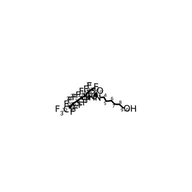 O=S(=O)(NCCCCCCO)C(F)(F)C(F)(F)C(F)(F)C(F)(F)C(F)(F)C(F)(F)C(F)(F)C(F)(F)F